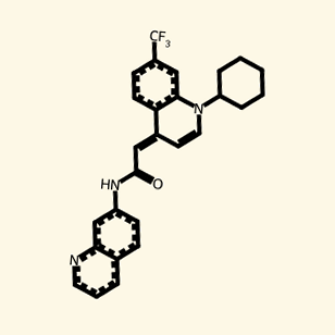 O=C(C=C1C=CN(C2CCCCC2)c2cc(C(F)(F)F)ccc21)Nc1ccc2cccnc2c1